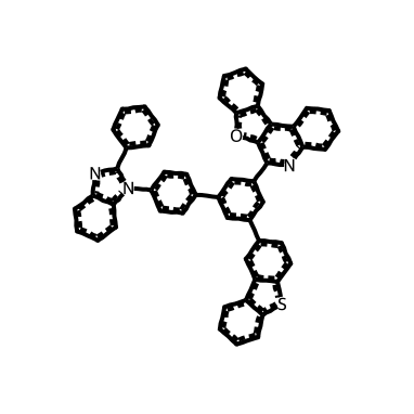 c1ccc(-c2nc3ccccc3n2-c2ccc(-c3cc(-c4ccc5sc6ccccc6c5c4)cc(-c4nc5ccccc5c5c4oc4ccccc45)c3)cc2)cc1